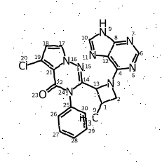 CC1CN(c2ncnc3[nH]cnc23)C1c1nn2ccc(Cl)c2c(=O)n1-c1ccccc1